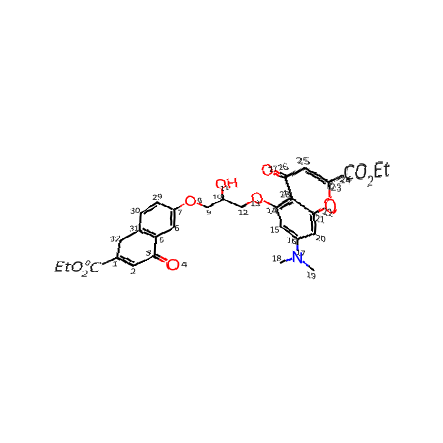 CCOC(=O)C1=CC(=O)c2cc(OCC(O)COc3cc(N(C)C)cc4oc(C(=O)OCC)cc(=O)c34)ccc2C1